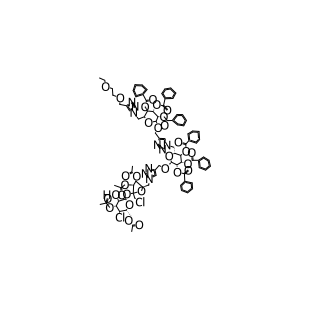 CCOCCOCc1cn(CC2O[C@H](OCc3cn(C[C@H]4O[C@H](OCc5cn(C[C@H]6OC(CCl)(O[C@H]7O[C@H](COC(C)=O)[C@H](Cl)[C@H](OC(C)=O)[C@H]7O)[C@@H](OC(C)=O)[C@@H]6OC(C)=O)nn5)[C@@H](OC(=O)c5ccccc5)[C@@H](OC(=O)c5ccccc5)[C@@H]4OC(=O)c4ccccc4)nn3)[C@@H](OC(=O)c3ccccc3)[C@@H](OC(=O)c3ccccc3)[C@@H]2OC(=O)c2ccccc2)nn1